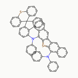 c1ccc(N(c2ccccc2)c2c3ccccc3cc3c2sc2c(N(c4ccccc4)c4cccc5c4-c4ccccc4C54c5ccccc5Sc5ccccc54)c4ccccc4cc23)cc1